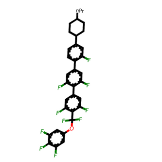 CCCC1CCC(c2ccc(-c3cc(F)c(-c4cc(F)c(C(F)(F)Oc5cc(F)c(F)c(F)c5)c(F)c4)c(F)c3)c(F)c2)CC1